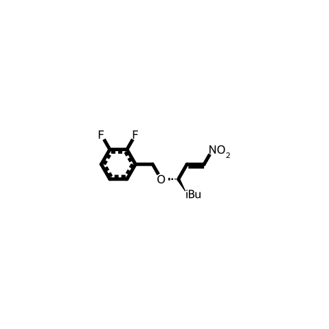 CC[C@H](C)[C@@H](/C=C/[N+](=O)[O-])OCc1cccc(F)c1F